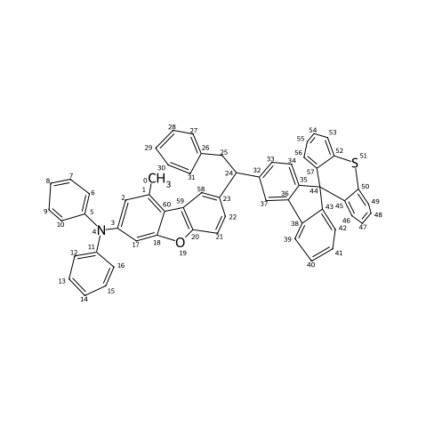 Cc1cc(N(c2ccccc2)c2ccccc2)cc2oc3ccc(C(Cc4ccccc4)c4ccc5c(c4)-c4ccccc4C54c5ccccc5Sc5ccccc54)cc3c12